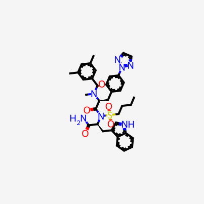 CCCCS(=O)(=O)N(C(=O)[C@H](Cc1ccc(-n2nccn2)cc1)N(C)C(=O)c1cc(C)cc(C)c1)[C@@H](Cc1c[nH]c2ccccc12)C(N)=O